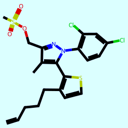 C=CCCCc1ccsc1-c1c(C)c(COS(C)(=O)=O)nn1-c1ccc(Cl)cc1Cl